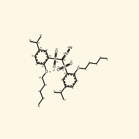 CCCCCOc1ccc(C(C)C)cc1S(=O)(=O)C(=[N+]=[N-])S(=O)(=O)c1cc(C(C)C)ccc1OCCCCC